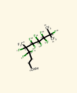 COCCC(F)(F)C(F)(C(F)(F)F)C(F)(F)C(F)(F)C(F)(F)C(F)(C(F)(F)F)C(F)(F)F